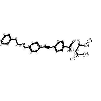 C[C@@H](O)[C@H](NC(=O)c1ccc(C#Cc2ccc(CNCCc3ccccc3)cc2)cc1)C(=O)NO